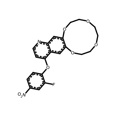 O=[N+]([O-])c1ccc(Oc2ccnc3cc4c(cc23)OCCOCCOCCO4)c(F)c1